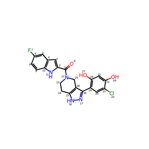 O=C(c1cc2cc(F)ccc2[nH]1)N1CCc2[nH]nc(-c3cc(Cl)c(O)cc3O)c2C1